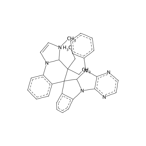 CCC1(CC)C2N(C)C=CN2c2ccccc2C12c1ccccc1N1c3nccnc3N(c3ccccc3)C12